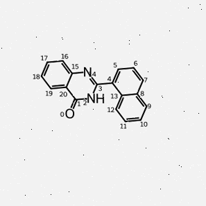 O=c1[nH]c(-c2cccc3ccccc23)nc2ccccc12